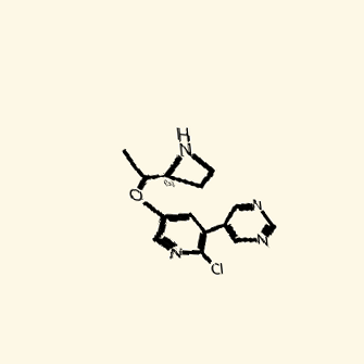 CC(Oc1cnc(Cl)c(-c2cncnc2)c1)[C@@H]1CCN1